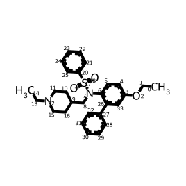 CCOc1ccc(N(CC2CCN(CC)CC2)S(=O)(=O)c2ccccc2)c(-c2ccccc2)c1